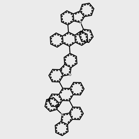 c1ccc(-n2c3ccccc3c3cccc(-c4c5ccccc5c(-c5ccc6oc7c(-c8c9ccccc9c(-c9cccc%10c%11ccccc%11n(-c%11ccccc%11)c9%10)c9ccccc89)cccc7c6c5)c5ccccc45)c32)cc1